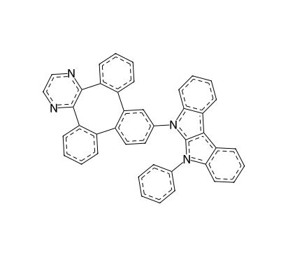 c1ccc(-n2c3ccccc3c3c4ccccc4n(-c4ccc5c(c4)-c4ccccc4-c4nccnc4-c4ccccc4-5)c32)cc1